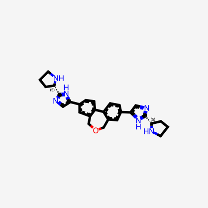 c1cc2c(cc1-c1cnc([C@@H]3CCCN3)[nH]1)COCc1cc(-c3cnc([C@@H]4CCCN4)[nH]3)ccc1-2